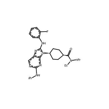 CCCN(CC)C(=O)[C@H]1CC[C@@H](n2c(Nc3ccccc3F)nc3cnc(NC(C)C)nc32)CC1